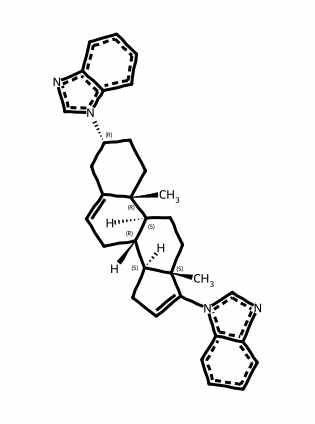 C[C@]12CC[C@@H](n3cnc4ccccc43)CC1=CC[C@@H]1[C@@H]2CC[C@]2(C)C(n3cnc4ccccc43)=CC[C@@H]12